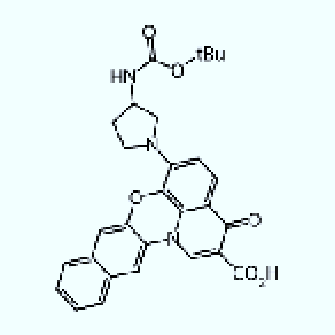 CC(C)(C)OC(=O)NC1CCN(c2ccc3c(=O)c(C(=O)O)cn4c3c2Oc2cc3ccccc3cc2-4)C1